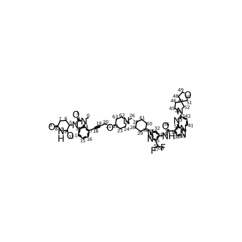 Cn1c(=O)n(C2CCC(=O)NC2=O)c2cccc(C#CCOC3CCN(C[C@H]4CC[C@H](n5cc(NC(=O)c6cnn7ccc(N8CCC9(CCOC9)C8)nc67)c(C(F)F)n5)CC4)CC3)c21